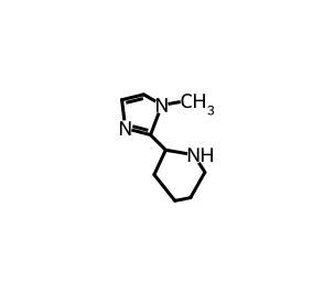 Cn1ccnc1C1CCCCN1